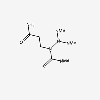 CNC(=S)N(CCC(N)=O)N(NC)NC